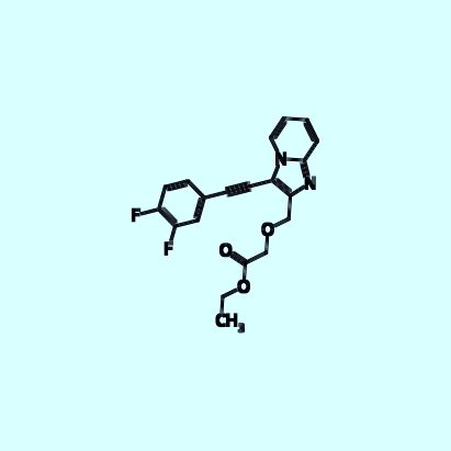 CCOC(=O)COCc1nc2ccccn2c1C#Cc1ccc(F)c(F)c1